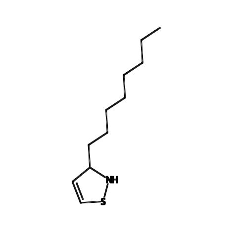 CCCCCCCCC1C=CSN1